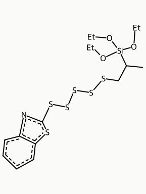 CCO[Si](OCC)(OCC)C(C)CSSSSSc1nc2ccccc2s1